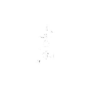 NCc1cc(Oc2cccc(C(=O)N3C[C@@H](F)[C@@H](O)C3)c2)nc(C(F)(F)F)c1